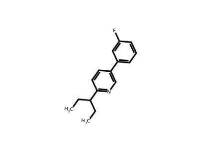 CC[C](CC)c1ccc(-c2cccc(F)c2)cn1